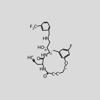 C#CCC1NC(=O)CCCCOc2cc(F)cc(c2)C[C@@H]([C@H](O)CNCc2cccc(C(F)(F)F)c2)NC1=O